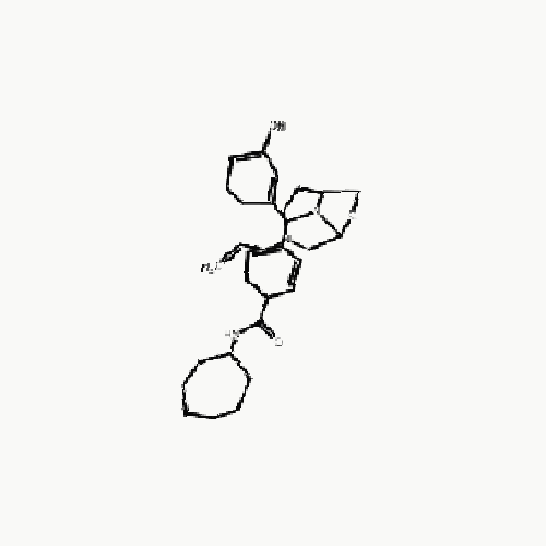 C=CCN1CCC2CCC(C1)N2C(C1=CCC(C(=O)NC2CCCCCC2)C=C1)C1=CC(O)=CCC1